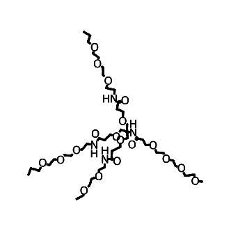 CCCOCCOCCOCCNC(=O)CCOCC(COCCC(=O)NCCOCCOCC)(COCCC(=O)NCCOCCOCCOCCC)NC(=O)CCOCCOCCOCCOC